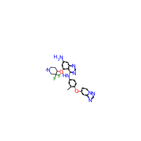 Cc1cc(Nc2ncnc3cc(N)cc(OC4CCN(C)CC4(F)F)c23)ccc1Oc1ccn2ncnc2c1